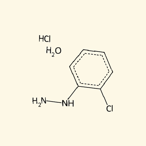 Cl.NNc1ccccc1Cl.O